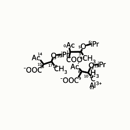 CC(=O)C(C(=O)[O-])C(C)OC(C)C.CC(=O)C(C(=O)[O-])C(C)OC(C)C.CC(=O)C(C(=O)[O-])C(C)OC(C)C.[Al+3]